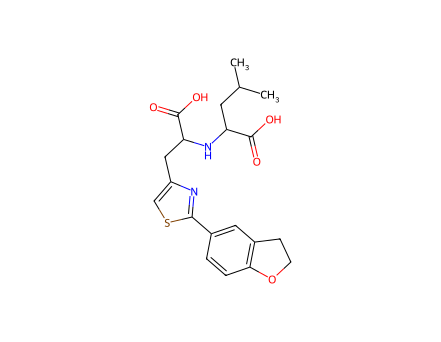 CC(C)CC(NC(Cc1csc(-c2ccc3c(c2)CCO3)n1)C(=O)O)C(=O)O